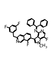 Cn1cc(-c2ccc3cc(Cc4cc(F)cc(F)c4)ncc3c2F)c2c(N=C(c3ccccc3)c3ccccc3)ncc(F)c21